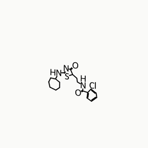 O=C(NCCC1SC(NC2CCCCCC2)=NC1=O)c1ccccc1Cl